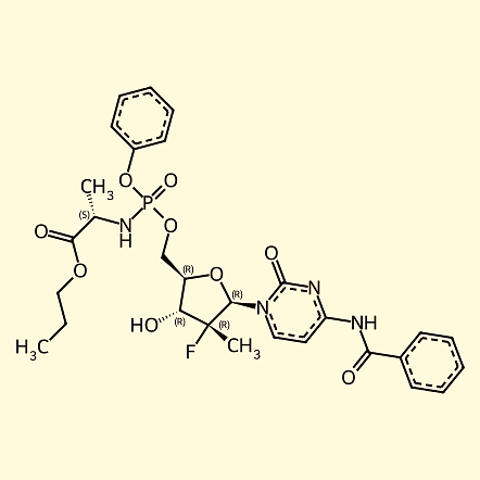 CCCOC(=O)[C@H](C)NP(=O)(OC[C@H]1O[C@@H](n2ccc(NC(=O)c3ccccc3)nc2=O)[C@](C)(F)[C@@H]1O)Oc1ccccc1